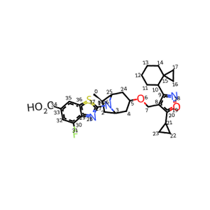 C[C@@H]1CC2CC(OCc3c(C4CCCCC45CC5)noc3C3CC3)CC1N2c1nc2c(F)cc(C(=O)O)cc2s1